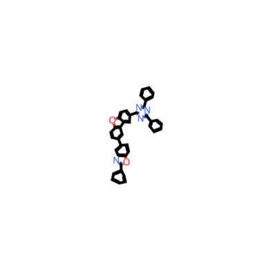 c1ccc(-c2nc(-c3ccccc3)nc(-c3ccc4oc5ccc(-c6ccc7oc(-c8ccccc8)nc7c6)cc5c4c3)n2)cc1